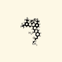 CCOC(=O)CC1CCC(CN2c3ccc(C(F)(F)F)cc3C(N(Cc3cc(C(F)(F)F)cc(C(F)(F)F)c3)c3nnn(C)n3)CC2CC)CC1